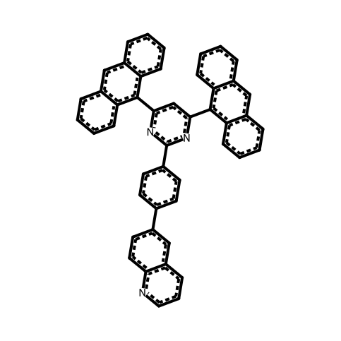 c1cnc2ccc(-c3ccc(-c4nc(-c5c6ccccc6cc6ccccc56)cc(-c5c6ccccc6cc6ccccc56)n4)cc3)cc2c1